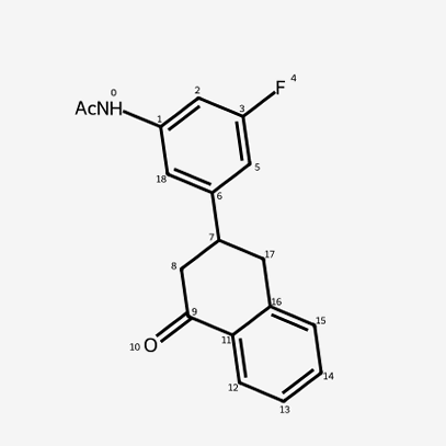 CC(=O)Nc1cc(F)cc(C2CC(=O)c3ccccc3C2)c1